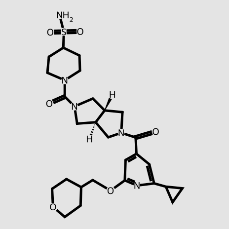 NS(=O)(=O)C1CCN(C(=O)N2C[C@@H]3CN(C(=O)c4cc(OCC5CCOCC5)nc(C5CC5)c4)C[C@H]3C2)CC1